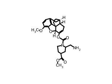 COC(=O)C1CCN(C(=O)OC2=CC[C@H]3[C@@H]4CCC[C@@]35c3c(ccc(OC)c3O[C@@H]25)C4)C(CN)C1